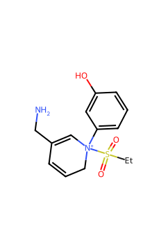 CCS(=O)(=O)[N+]1(c2cccc(O)c2)C=C(CN)C=CC1